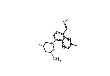 C/N=C/c1ccc(N2C[C@@H](C)C[C@@H](N)C2)c2ncc(C)nc12